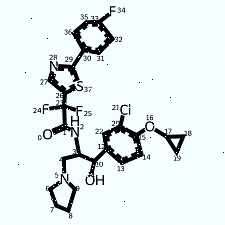 O=C(NC(CN1CCCC1)C(O)c1ccc(OC2CC2)c(Cl)c1)C(F)(F)c1cnc(-c2ccc(F)cc2)s1